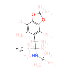 Bc1c(B)c(C(B)(B)C(B)(NC(B)(B)B)C(B)(B)C)c(B)c2c1OC(B)(B)O2